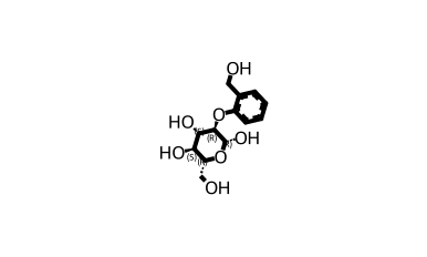 OCc1ccccc1O[C@@H]1[C@@H](O)[C@H](O)[C@@H](CO)O[C@H]1O